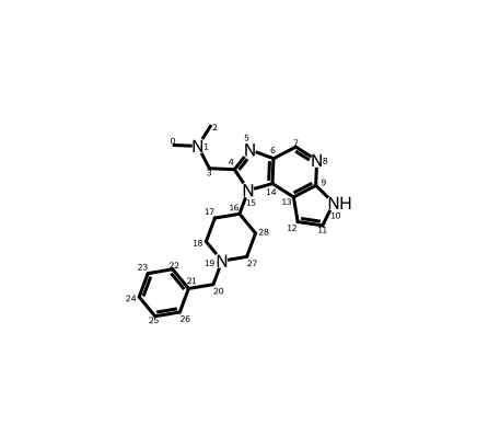 CN(C)Cc1nc2cnc3[nH]ccc3c2n1C1CCN(Cc2ccccc2)CC1